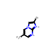 CCc1[c]n2cc(C(F)(F)F)cnc2n1